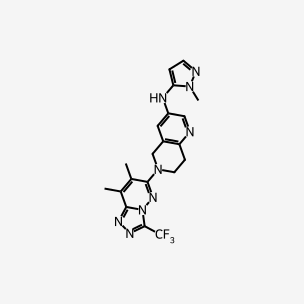 Cc1c(N2CCc3ncc(Nc4ccnn4C)cc3C2)nn2c(C(F)(F)F)nnc2c1C